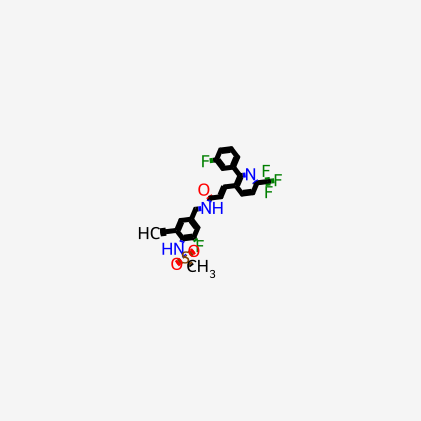 C#Cc1cc(CNC(=O)/C=C/c2ccc(C(F)(F)F)nc2-c2cccc(F)c2)cc(F)c1NS(C)(=O)=O